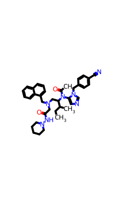 CCC(C)C(CN(CC(=O)NN1CCCCC1)Cc1cccc2ccccc12)N(C(C)=O)c1cncn1Cc1ccc(C#N)cc1